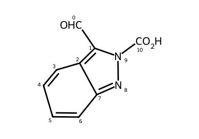 O=Cc1c2ccccc2nn1C(=O)O